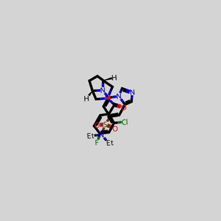 CCN(CC)S(=O)(=O)c1cc(N2[C@@H]3CC[C@H]2CN(C(=O)c2ccc(F)cc2Cl)C3)n2cncc2c1